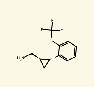 NC[C@@H]1C[C@H]1c1ccccc1OC(F)(F)F